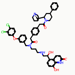 O=C(Cc1ccc(CC(=O)N2CCC(c3ccccc3)CC2C2CN3CCC2CC3)cc1)N(CCCNCC(O)c1ccc(O)c2[nH]c(=O)ccc12)Cc1cccc(Oc2ccc(Cl)c(Cl)c2)c1